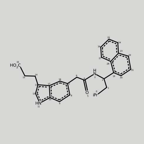 CC(C)CC(NC(=O)Cc1ccc2[nH]cc(CCC(=O)O)c2c1)c1cccc2ccccc12